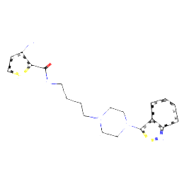 Nc1ccsc1C(=O)NCCCCN1CCN(c2snc3ccccc23)CC1